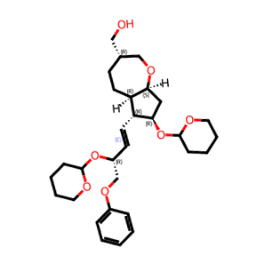 OC[C@H]1CC[C@@H]2[C@@H](/C=C/[C@H](COc3ccccc3)OC3CCCCO3)[C@H](OC3CCCCO3)C[C@@H]2OC1